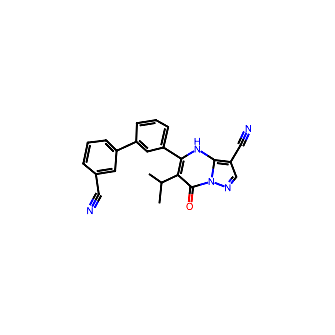 CC(C)c1c(-c2cccc(-c3cccc(C#N)c3)c2)[nH]c2c(C#N)cnn2c1=O